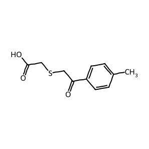 Cc1ccc(C(=O)CSCC(=O)O)cc1